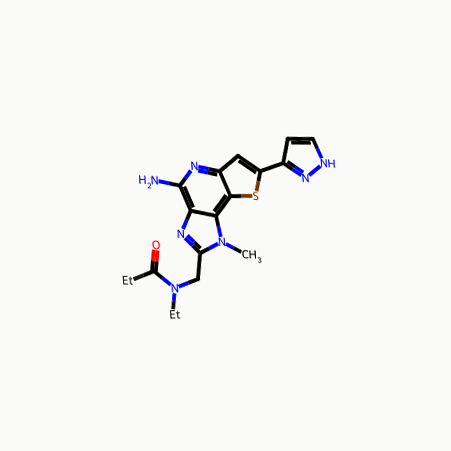 CCC(=O)N(CC)Cc1nc2c(N)nc3cc(-c4cc[nH]n4)sc3c2n1C